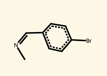 C/N=C\c1ccc(Br)cc1